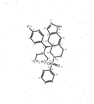 CCN(CC)C(c1ccc(F)cc1)[C@@]12Cc3cn[nH]c3C=C1CCN(S(=O)(=O)c1ccccc1)C2